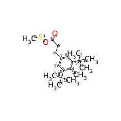 CSOC(=O)CCc1cc(C(C)(C)C)c(C)c(C(C)(C)C)c1